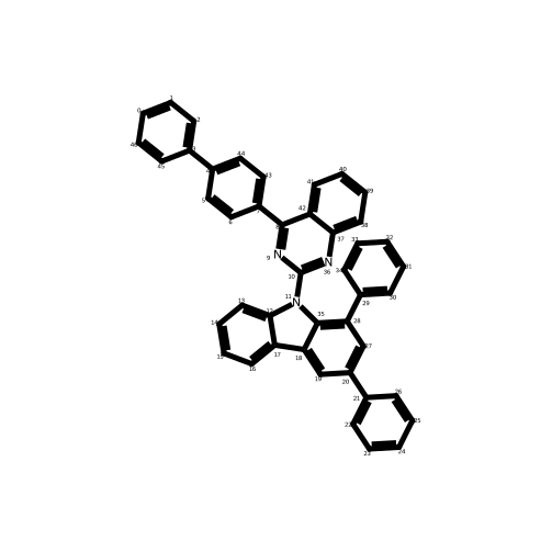 c1ccc(-c2ccc(-c3nc(-n4c5ccccc5c5cc(-c6ccccc6)cc(-c6ccccc6)c54)nc4ccccc34)cc2)cc1